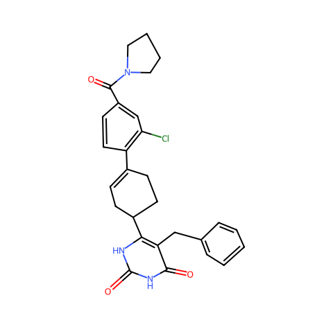 O=C(c1ccc(C2=CCC(c3[nH]c(=O)[nH]c(=O)c3Cc3ccccc3)CC2)c(Cl)c1)N1CCCC1